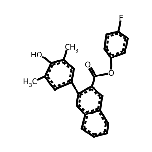 Cc1cc(-c2cc3ccccc3cc2C(=O)Oc2ccc(F)cc2)cc(C)c1O